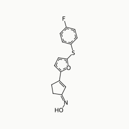 ON=C1C=C(c2ccc(Sc3ccc(F)cc3)o2)CC1